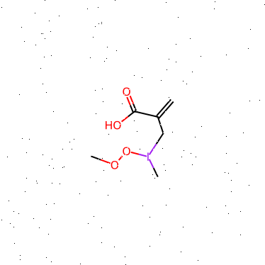 C=C(CI(C)OOC)C(=O)O